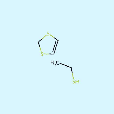 C1=CSCS1.CCS